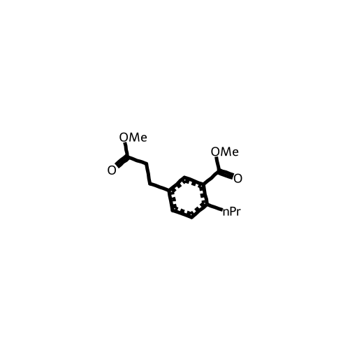 CCCc1ccc(CCC(=O)OC)cc1C(=O)OC